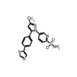 Cc1cc(-c2ccc(-c3cncs3)cc2)n(-c2ccc(S(N)(=O)=O)nc2)n1